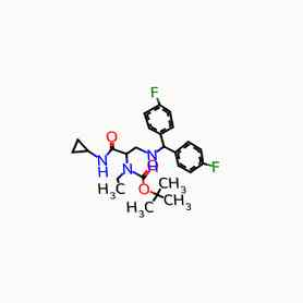 CCN(C(=O)OC(C)(C)C)C(CNC(c1ccc(F)cc1)c1ccc(F)cc1)C(=O)NC1CC1